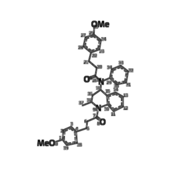 COc1ccc(CCC(=O)N2c3ccccc3C(N(C(=O)CCc3ccc(OC)cc3)c3ccccc3)CC2C)cc1